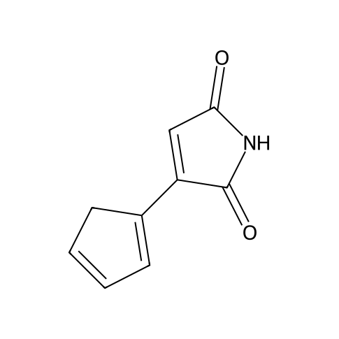 O=C1C=C(C2=CC=CC2)C(=O)N1